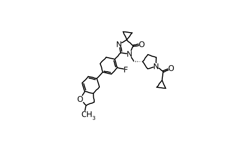 CC1CC2CC(C3=CC(F)=C(C4=NC5(CC5)C(=O)N4C[C@@H]4CCN(C(=O)C5CC5)C4)CC3)=CC=C2O1